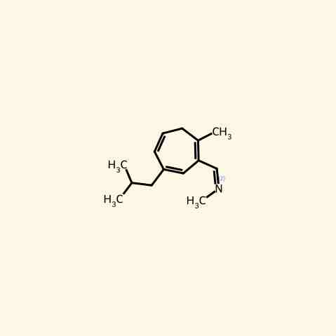 C/N=C\C1=C(C)CC=CC(CC(C)C)=C1